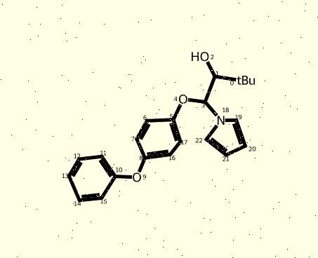 CC(C)(C)C(O)C(Oc1ccc(Oc2ccccc2)cc1)n1cccc1